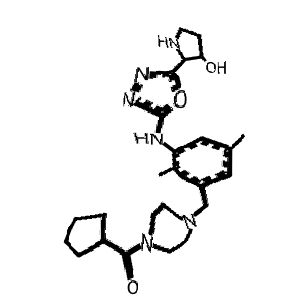 Cc1cc(CN2CCN(C(=O)C3CCCC3)CC2)c(C)c(Nc2nnc(C3NCCC3O)o2)c1